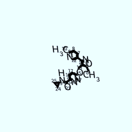 CCc1onc(-c2ccc(C)nc2)c1COc1ccc(C(=O)NC2CC2)nn1